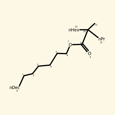 CCCCCCCCCCCCCCCCOC(=O)C(C)(CCC)CCCCCC